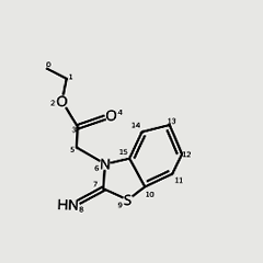 CCOC(=O)Cn1c(=N)sc2ccccc21